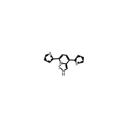 C1=C(c2cccs2)C2=CNSN2C(c2cccs2)=C1